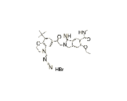 Br.CCOc1cc2c(cc1C(=O)NC)C(=N)N(CC(=O)c1cc3c(c(C(C)(C)C)c1)OCCN3C=NC#N)C2